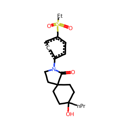 CCCC1(O)CCC2(CCN(c3ccc(S(=O)(=O)CC)cc3)C2=O)CC1